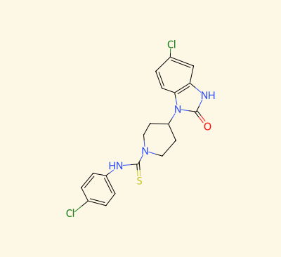 O=c1[nH]c2cc(Cl)ccc2n1C1CCN(C(=S)Nc2ccc(Cl)cc2)CC1